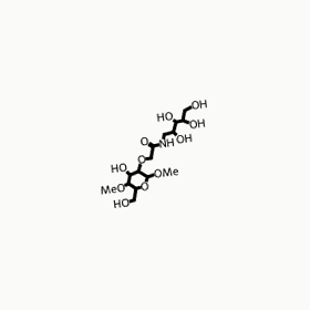 COC1OC(CO)C(OC)C(O)C1OCC(=O)NCC(O)C(O)C(O)CO